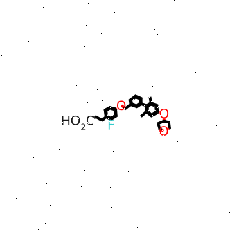 Cc1cc(OC2CCOCC2)cc(C)c1-c1cccc(COc2ccc(CCC(=O)O)c(F)c2)c1